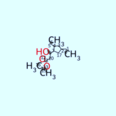 CCC1CC(CC)C(C(O)CC(=O)OC(C)C)C1